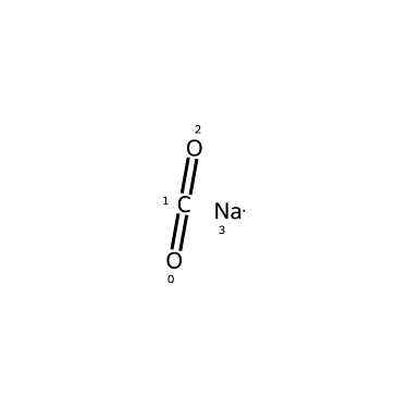 O=C=O.[Na]